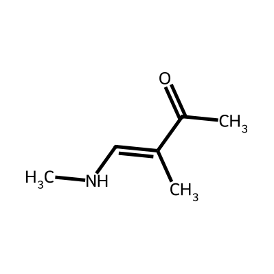 CN/C=C(\C)C(C)=O